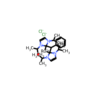 CC(C)N1C=CN(C(C)C)[C]12[Ru+2][C]1(C2c2ccccc2)N(C(C)C)C=CN1C(C)C.[Cl-].[Cl-]